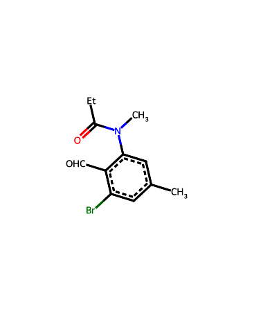 CCC(=O)N(C)c1cc(C)cc(Br)c1C=O